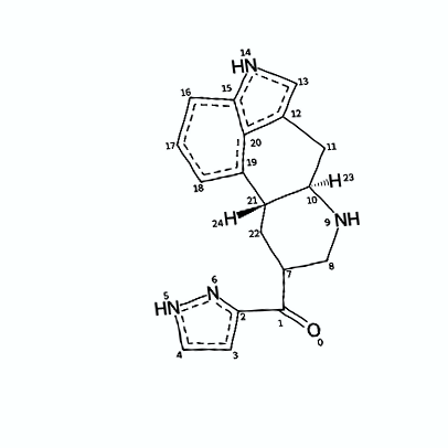 O=C(c1cc[nH]n1)C1CN[C@@H]2Cc3c[nH]c4cccc(c34)[C@H]2C1